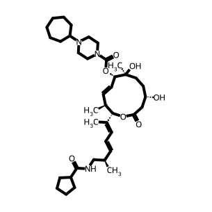 C/C(=C\C=C\[C@@H](C)CNC(=O)C1CCCC1)[C@H]1OC(=O)C[C@@H](O)CC[C@](C)(O)[C@@H](OC(=O)N2CCN(C3CCCCCC3)CC2)/C=C/[C@@H]1C